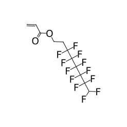 C=CC(=O)OCCC(F)(F)C(F)(F)C(F)(F)C(F)(F)C(F)(F)C(F)F